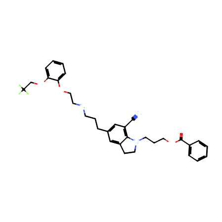 N#Cc1cc(CCCNCCOc2ccccc2OCC(F)(F)F)cc2c1N(CCCOC(=O)c1ccccc1)CC2